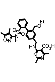 CCOCc1cc(CNc2nc(C)nc(C)c2C(=O)O)ccc1-c1ccccc1S(=O)(=O)Nc1noc(C)c1C